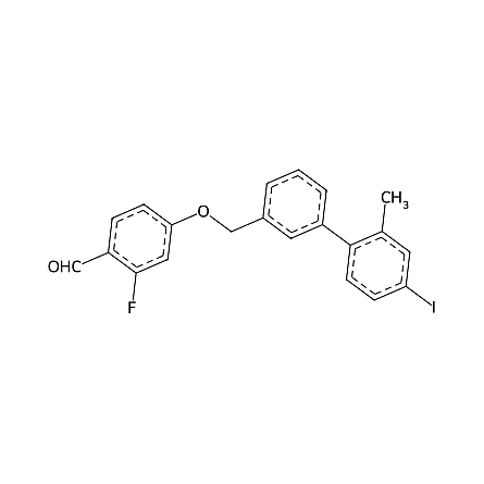 Cc1cc(I)ccc1-c1cccc(COc2ccc(C=O)c(F)c2)c1